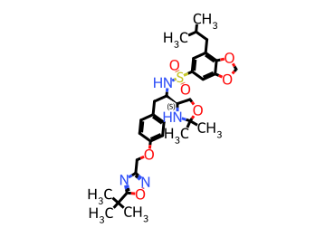 CC(C)Cc1cc(S(=O)(=O)NC(Cc2ccc(OCc3noc(C(C)(C)C)n3)cc2)[C@H]2COC(C)(C)N2)cc2c1OCO2